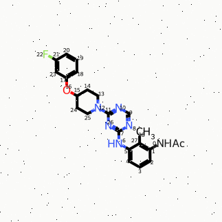 CC(=O)Nc1cccc(Nc2ncnc(N3CCC(Oc4cccc(F)c4)CC3)n2)c1C